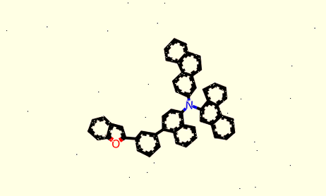 c1cc(-c2cc3ccccc3o2)cc(-c2ccc(N(c3ccc4c(ccc5ccccc54)c3)c3cc4ccccc4c4ccccc34)c3ccccc23)c1